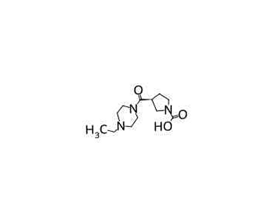 CCN1CCN(C(=O)[C@H]2CCN(C(=O)O)C2)CC1